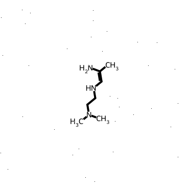 C/C(N)=C/NCCN(C)C